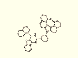 c1cc(C2=Nc3c(oc4ccccc34)C(c3cccc4ccccc34)N2)cc(-n2c3ccc4cccc5oc6cccc7ccc2c(c76)c3c45)c1